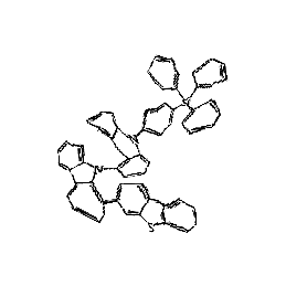 c1ccc([Si](c2ccccc2)(c2ccccc2)c2ccc(-n3c4ccccc4c4c(-n5c6ccccc6c6cccc(-c7ccc8c(c7)sc7ccccc78)c65)cccc43)cc2)cc1